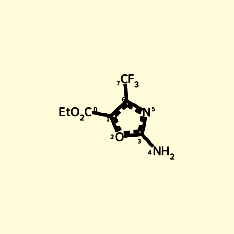 CCOC(=O)c1oc(N)nc1C(F)(F)F